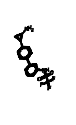 N[C@H]1C[C@@H]1c1ccc(-c2cccc(NS(=O)(=O)C(F)(F)F)c2)cc1